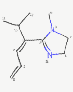 C=C/C=C(\C1=NCCN1C)C(C)C